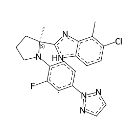 Cc1c(Cl)ccc2[nH]c([C@]3(C)CCCN3c3ccc(-n4nccn4)[c]c3F)nc12